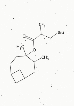 CC1CC2CC(CCC1(C)OC(=O)C(CC(C)(C)C)C(F)(F)F)C2